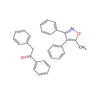 Cc1onc(-c2ccccc2)c1-c1ccccc1.O=C([CH]c1ccccc1)c1ccccc1